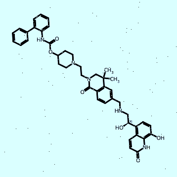 CC1(C)CN(CCN2CCC(OC(=O)Nc3ccccc3-c3ccccc3)CC2)C(=O)c2ccc(CNC[C@H](O)c3ccc(O)c4[nH]c(=O)ccc34)cc21